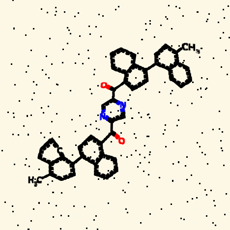 Cc1ccc(-c2ccc(C(=O)c3cnc(C(=O)c4ccc(-c5ccc(C)c6ccccc56)c5ccccc45)cn3)c3ccccc23)c2ccccc12